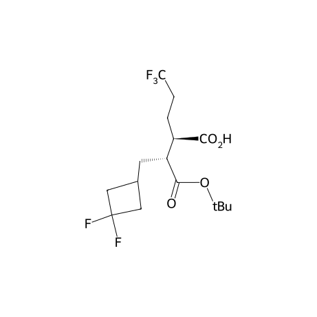 CC(C)(C)OC(=O)[C@H](CC1CC(F)(F)C1)[C@@H](CCC(F)(F)F)C(=O)O